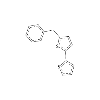 c1ccc(Cc2ccc(-c3cccs3)s2)cc1